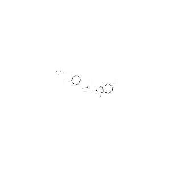 COc1ccc(CC(=O)Nc2nc3ccc(F)cc3s2)cc1C